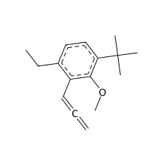 C=C=Cc1c(CC)ccc(C(C)(C)C)c1OC